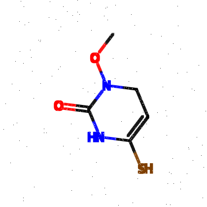 CON1CC=C(S)NC1=O